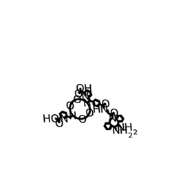 NC1c2ccccc2CN(C(=O)CCNC(=O)c2ccc(C(c3cccc(C(=O)O)n3)N3CCOCCOCCN(Cc4cccc(C(=O)O)n4)CCOCCOCC3)cc2)c2ccccc2C1N